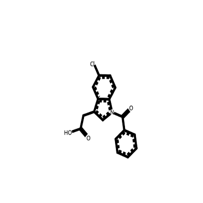 O=C(O)Cc1cn(C(=O)c2ccccc2)c2ccc(Cl)cc12